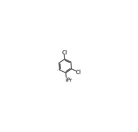 CC(C)c1[c]cc(Cl)cc1Cl